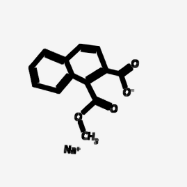 COC(=O)c1c(C(=O)[O-])ccc2ccccc12.[Na+]